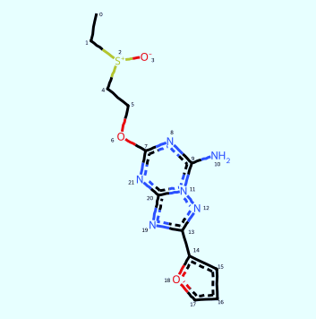 CC[S+]([O-])CCOc1nc(N)n2nc(-c3ccco3)nc2n1